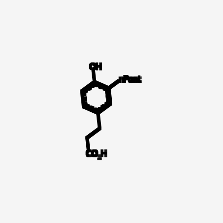 CCCCCc1cc(CCC(=O)O)ccc1O